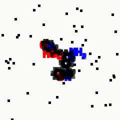 Nc1cc(O/C=C(\O)CN2CCOCC2)c2ccc(-c3ccnn3C3CCCCO3)cc2n1